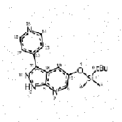 CC(C)(C)[Si](C)(C)Oc1cnc2[nH]nc(-c3ccncc3)c2c1